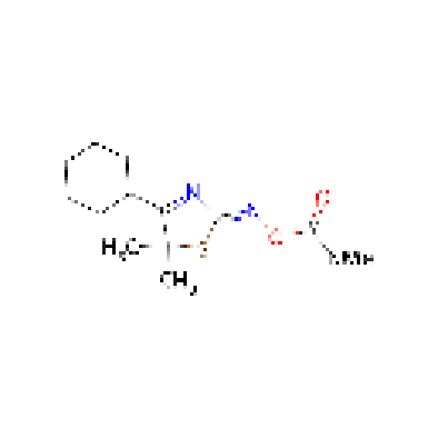 CNC(=O)ON=C1N=C(C2CCCCC2)C(C)(C)S1